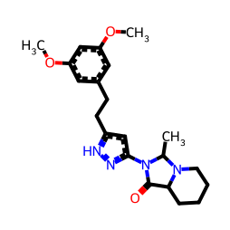 COc1cc(CCc2cc(N3C(=O)C4CCCCN4C3C)n[nH]2)cc(OC)c1